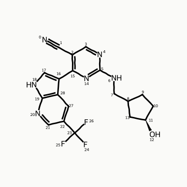 N#Cc1cnc(NCC2CC[C@@H](O)C2)nc1-c1c[nH]c2ncc(C(F)(F)F)cc12